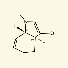 CCC1=CN(C)[C@H]2C=CCC[C@H]12